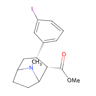 COC(=O)[C@@H]1C2CCC(C[C@@H]1c1cccc(I)c1)N2C